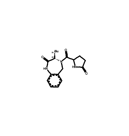 CC[C@H](C)[C@H]1C(=O)Nc2ccccc2CN1C(=O)C1CCC(=O)N1